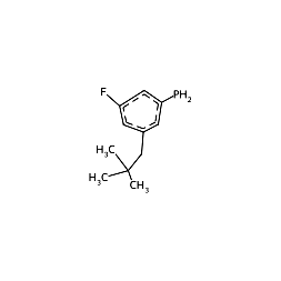 CC(C)(C)Cc1cc(F)cc(P)c1